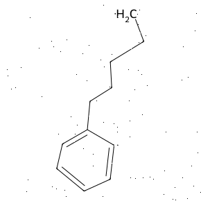 [CH2]CCCCc1[c]cccc1